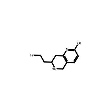 CC(C)CCC1Cc2nc(O)ccc2CN1